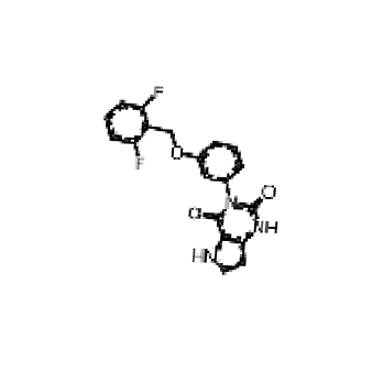 O=c1[nH]c2cc[nH]c2c(=O)n1-c1cccc(OCc2c(F)cccc2F)c1